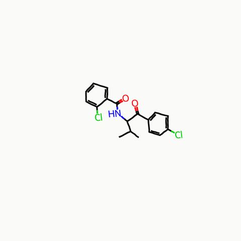 CC(C)C(NC(=O)c1ccccc1Cl)C(=O)c1ccc(Cl)cc1